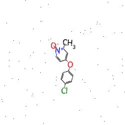 Cc1cc(Oc2ccc(Cl)cc2)cc[n+]1[O-]